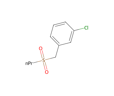 CCCS(=O)(=O)Cc1cccc(Cl)c1